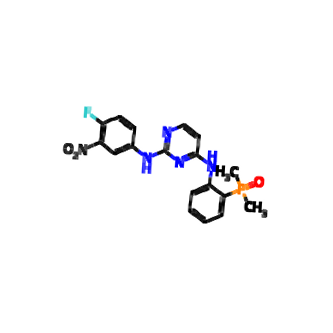 CP(C)(=O)c1ccccc1Nc1ccnc(Nc2ccc(F)c([N+](=O)[O-])c2)n1